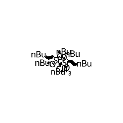 CCCCC=C[Si](OCCCC)(OCCCC)C(C)[Si](C=CCCCC)(OCCCC)OCCCC